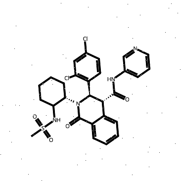 CS(=O)(=O)NC1CCCC[C@@H]1N1C(=O)c2ccccc2[C@@H](C(=O)Nc2cccnc2)[C@@H]1c1ccc(Cl)cc1Cl